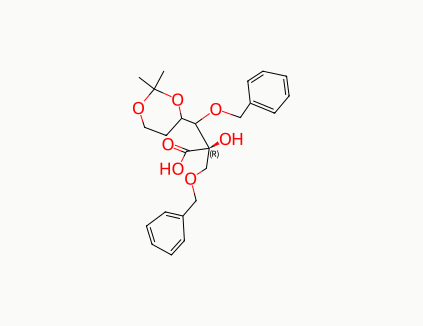 CC1(C)OCCC(C(OCc2ccccc2)[C@](O)(COCc2ccccc2)C(=O)O)O1